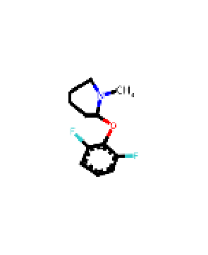 CN1CCC[CH]C1Oc1c(F)cccc1F